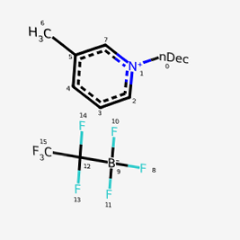 CCCCCCCCCC[n+]1cccc(C)c1.F[B-](F)(F)C(F)(F)C(F)(F)F